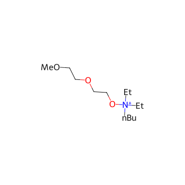 CCCC[N+](CC)(CC)OCCOCCOC